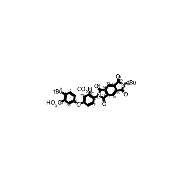 CC(C)(C)c1ccc(Oc2ccc(-n3c(=O)c4cc5c(=O)n(C(C)(C)C)c(=O)c5cc4c3=O)c(C(=O)O)c2)cc1C(=O)O